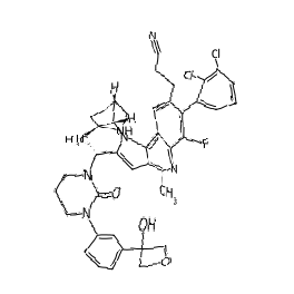 Cc1nc2c(F)c(-c3cccc(Cl)c3Cl)c(CCC#N)cc2c2c1cc([C@@H](C)N1CCCN(c3cccc(C4(O)COC4)c3)C1=O)n2[C@H]1[C@H]2CN[C@@H]1C2